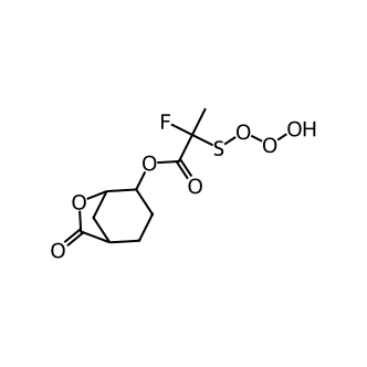 CC(F)(SOOO)C(=O)OC1CCC2CC1OC2=O